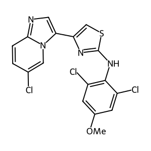 COc1cc(Cl)c(Nc2nc(-c3cnc4ccc(Cl)cn34)cs2)c(Cl)c1